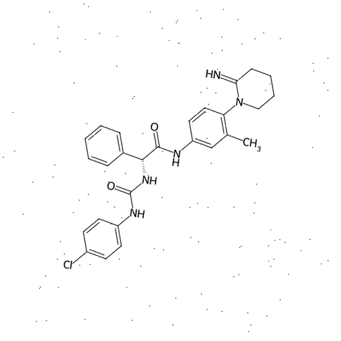 Cc1cc(NC(=O)[C@H](NC(=O)Nc2ccc(Cl)cc2)c2ccccc2)ccc1N1CCCCC1=N